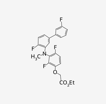 CCOC(=O)COc1ccc(F)c(N(C)c2cc(-c3cccc(F)c3)ccc2F)c1F